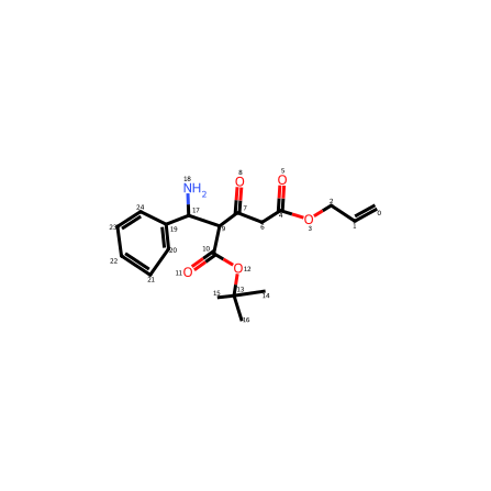 C=CCOC(=O)CC(=O)C(C(=O)OC(C)(C)C)C(N)c1ccccc1